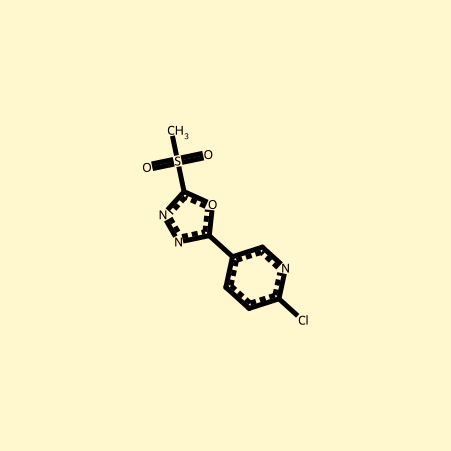 CS(=O)(=O)c1nnc(-c2ccc(Cl)nc2)o1